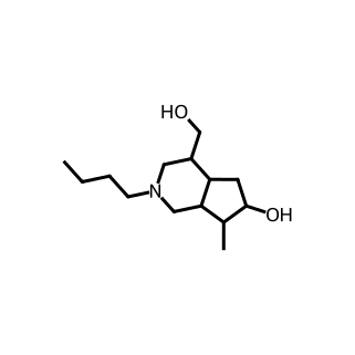 CCCCN1CC(CO)C2CC(O)C(C)C2C1